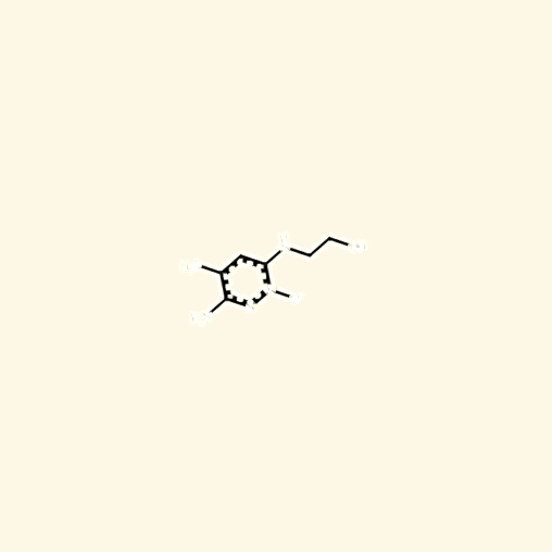 Cc1cc(NCCO)[n+]([O-])nc1N